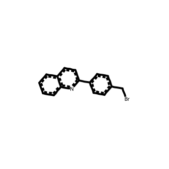 BrCc1ccc(-c2ccc3ccccc3n2)cc1